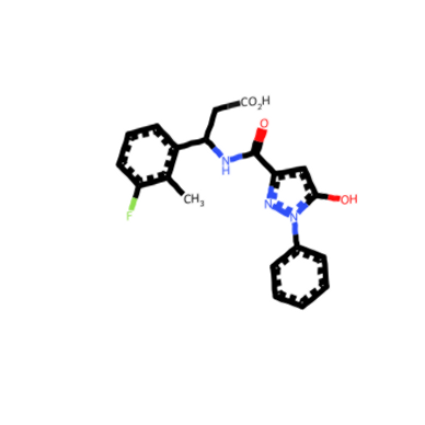 Cc1c(F)cccc1C(CC(=O)O)NC(=O)c1cc(O)n(-c2ccccc2)n1